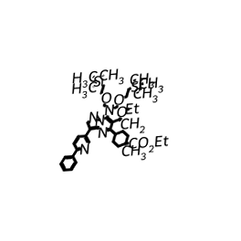 C=C(OCC)c1c(C2CCC(C)(C(=O)OCC)CC2)nc2c(-c3ccc(-c4ccccc4)nc3)cnn2c1N(COCC[Si](C)(C)C)COCC[Si](C)(C)C